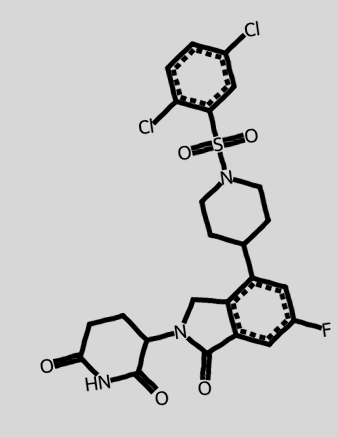 O=C1CCC(N2Cc3c(cc(F)cc3C3CCN(S(=O)(=O)c4cc(Cl)ccc4Cl)CC3)C2=O)C(=O)N1